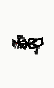 CN[C@@H]1CC2CC[C@@H](C1)N2C(=O)OC(C)(C)C